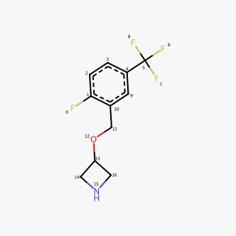 Fc1ccc(C(F)(F)F)cc1COC1CNC1